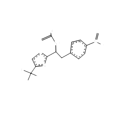 O=C(O)NC(Cc1ccc([N+](=O)[O-])cc1)c1nc(C(F)(F)F)cs1